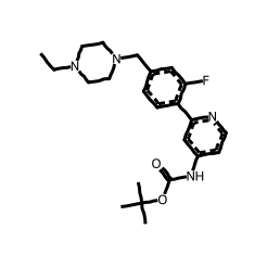 CCN1CCN(Cc2ccc(-c3cc(NC(=O)OC(C)(C)C)ccn3)c(F)c2)CC1